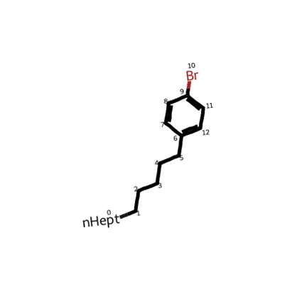 [CH2]CCCCCCCCCCCc1ccc(Br)cc1